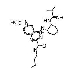 CCCCNC(=O)c1nc(N[C@H]2CCCC[C@H]2NC(=N)C(C)C)c2cc(C)ccc2n1.Cl.Cl